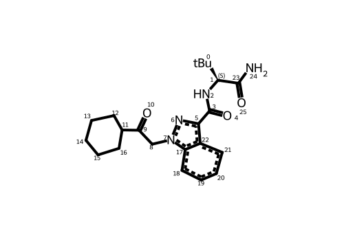 CC(C)(C)[C@H](NC(=O)c1nn(CC(=O)C2CCCCC2)c2ccccc12)C(N)=O